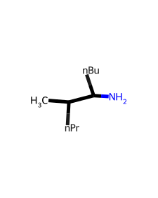 CCCCC(N)C(C)CCC